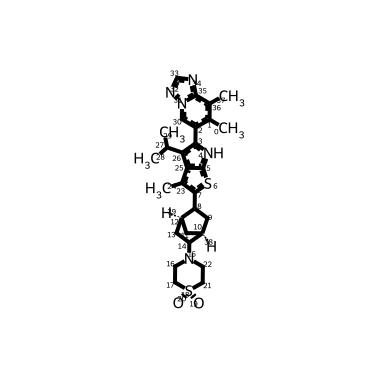 Cc1c(-c2[nH]c3sc(C4C[C@@H]5C[C@H]4CC5N4CCS(=O)(=O)CC4)c(C)c3c2C(C)C)cn2ncnc2c1C